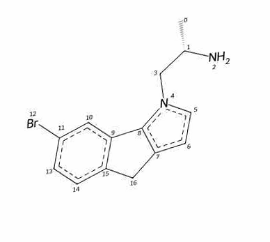 C[C@H](N)Cn1ccc2c1-c1cc(Br)ccc1C2